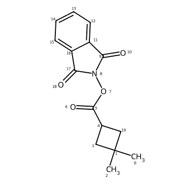 CC1(C)CC(C(=O)ON2C(=O)c3ccccc3C2=O)C1